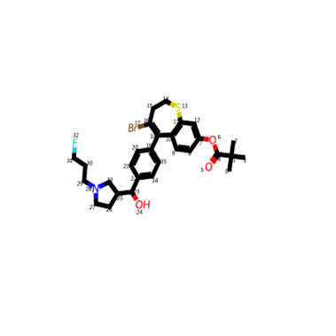 CC(C)(C)C(=O)Oc1ccc2c(c1)SCCC(Br)=C2c1ccc(C(O)C2CCN(CCCF)C2)cc1